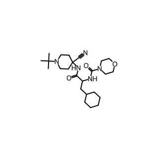 CC(C)(C)N1CCC(C#N)(NC(=O)C(CC2CCCCC2)NC(=O)N2CCOCC2)CC1